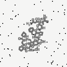 CC[C@H](C)[C@H](NC(=O)[C@@H]1CCCN1C(=O)CNC(=O)[C@@H]1CCCN1)C(=O)N[C@@H](CC(C)C)C(=O)N[C@@H](CO)C(=O)N[C@@H](CO)C(=O)N[C@@H](Cc1ccccc1)C(=O)N1CCC[C@H]1C(=O)N[C@@H](CCC(N)=O)C(=O)N[C@@H](CC(N)=O)C(=O)O